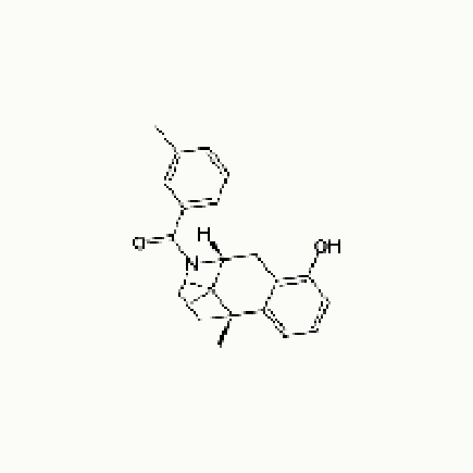 Cc1cccc(C(=O)N2CC[C@@]3(C)c4cccc(O)c4C[C@@H]2C3(C)C)c1